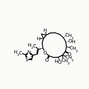 C/C(=C\c1csc(C)n1)[C@H]1C[C@@H]2C[C@@H]2CCC[C@H](C)[C@H](O)[C@@H](C)C(=O)C(C)(C)[C@@H](O)CC(=O)O1